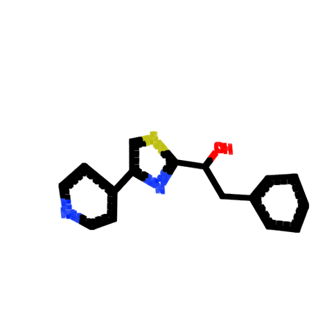 OC(Cc1ccccc1)c1nc(-c2ccncc2)cs1